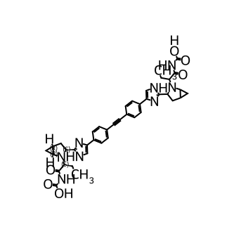 CCC(C(=O)NC(=O)O)N1C(c2nc(-c3ccc(C#Cc4ccc(-c5c[nH]c([C@@H]6C[C@H]7C[C@H]7N6[C@@H](CC)C(=O)NC(=O)O)n5)cc4)cc3)c[nH]2)CC2CC21